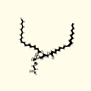 CCCCCCCC/C=C\CCCCCCCC(=O)OCC(CO[PH](=O)OCCNC)OC(=O)CCCCCCC/C=C\CCCCCCCC